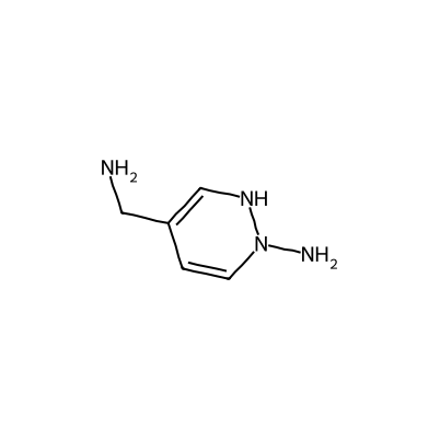 NCC1=CNN(N)C=C1